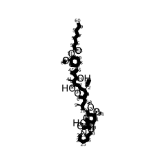 C=CC[C@H](/C=C(\C)C[C@H](C)C[C@H](OC)[C@H]1O[C@@](O)(C(=O)C(=O)N2CCCCC2C)[C@H](C)C[C@@H]1OC)C(=O)C[C@H](O)[C@@H](C)[C@H](O)/C(C)=C/[C@@H]1CC[C@@H](OC(=O)CCCCCCC)[C@H](OC)C1